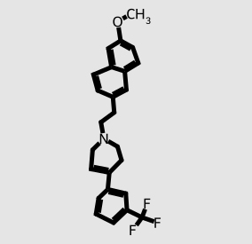 COc1ccc2cc(CCN3CC=C(c4cccc(C(F)(F)F)c4)CC3)ccc2c1